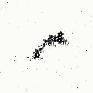 CCC1=C(C)CN(C(=O)NCCNCCNC(=O)/C(=C/C(=N)S(N)(=O)=NC(=O)Nc2c3c(nc4c2CCC4(C)C)CCC3)NC)C1=O